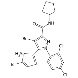 O=C(NC1CCCC1)c1nn(-c2ccc(Cl)cc2Cl)c(C2=CC=C(Br)[SeH2]2)c1Br